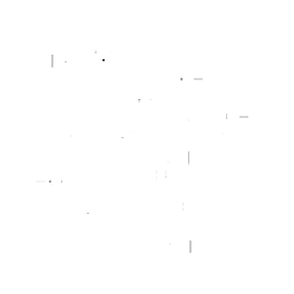 C=C(C(=O)OCCN)C(CC)(CC)CC.CCC(=CC=C(CC)C(=O)O)C(=O)O.Cl